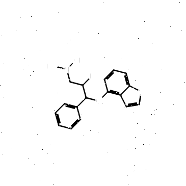 CN(C)CC(F)C(Oc1cccc2sccc12)c1ccccc1